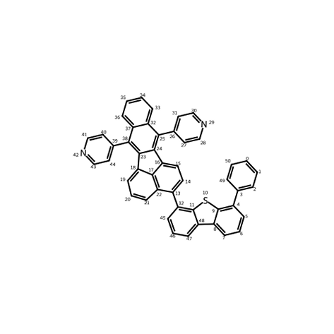 c1ccc(-c2cccc3c2sc2c(-c4ccc5c6c(cccc46)-c4c-5c(-c5ccncc5)c5ccccc5c4-c4ccncc4)cccc23)cc1